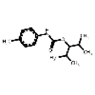 Cc1ccc(NC(=O)OC(C(C)C)C(C)C)cc1